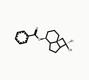 CC[C@@]1(C#N)C[C@]23CCC[C@H](OC(=O)c4ccccc4)C2CCC13